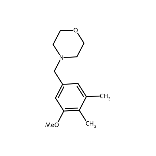 COc1cc(CN2CCOCC2)cc(C)c1C